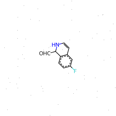 O=CC1NC=Cc2cc(F)ccc21